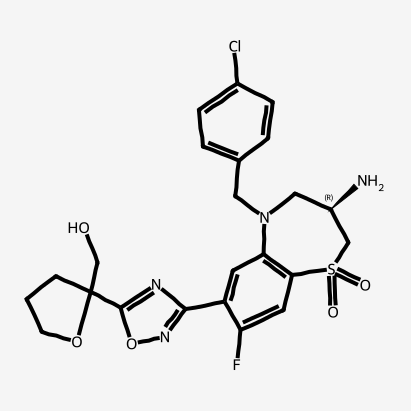 N[C@@H]1CN(Cc2ccc(Cl)cc2)c2cc(-c3noc(C4(CO)CCCO4)n3)c(F)cc2S(=O)(=O)C1